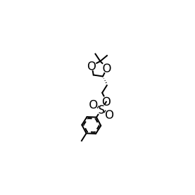 Cc1ccc(S(=O)(=O)OCC[C@@H]2COC(C)(C)O2)cc1